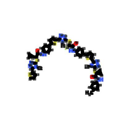 CCn1c(SC(C(=O)Nc2ccc(-c3ccc(-c4nnc(SC(F)C(=O)Nc5ccc(-c6ccc(-c7nnc(SC8(C(=O)NC9=CCC(C)C=C9)CC8)n7CC)s6)cc5)n4CC)s3)cc2)C2CC2)nnc1-c1cccs1